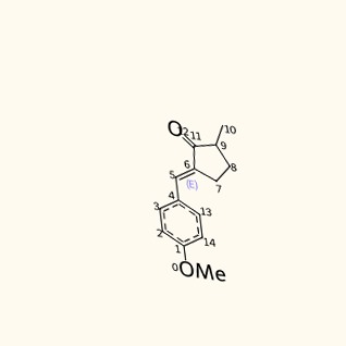 COc1ccc(/C=C2\CCC(C)C2=O)cc1